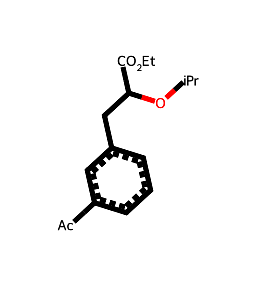 CCOC(=O)C(Cc1cccc(C(C)=O)c1)OC(C)C